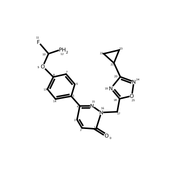 O=c1ccc(-c2ccc(OC(F)P)cc2)nn1Cc1nc(C2CC2)no1